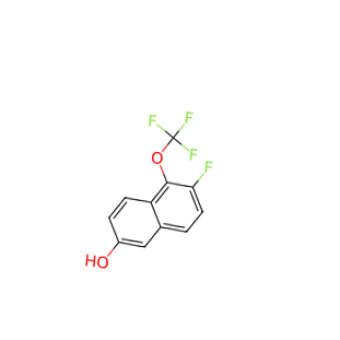 Oc1ccc2c(OC(F)(F)F)c(F)ccc2c1